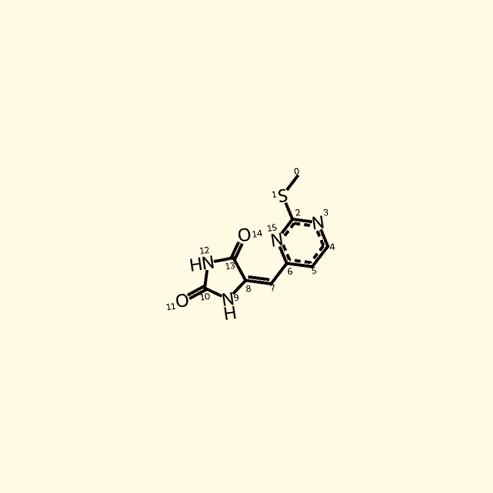 CSc1nccc(C=C2NC(=O)NC2=O)n1